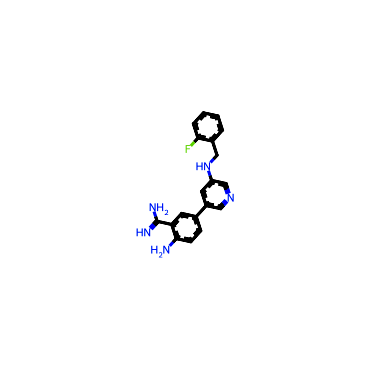 N=C(N)c1cc(-c2cncc(NCc3ccccc3F)c2)ccc1N